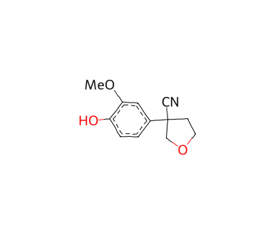 COc1cc(C2(C#N)CCOC2)ccc1O